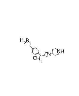 BCCc1ccc(CC2CN(C3CCNCC3)C2)c(C)c1